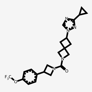 O=C(N1CC(c2ccc(OC(F)(F)F)cc2)C1)N1CC2(CC(n3cnc(C4CC4)n3)C2)C1